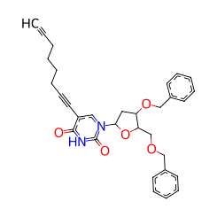 C#CCCCCC#Cc1cn(C2CC(OCc3ccccc3)C(COCc3ccccc3)O2)c(=O)[nH]c1=O